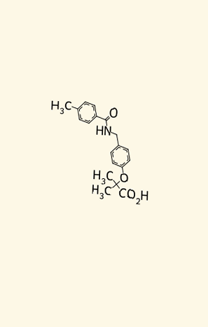 Cc1ccc(C(=O)NCc2ccc(OC(C)(C)C(=O)O)cc2)cc1